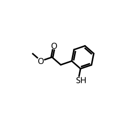 COC(=O)Cc1ccccc1S